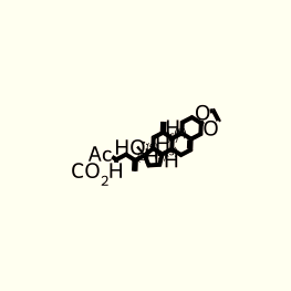 C=C1C[C@@]2(C)[C@@H](CC[C@]2(O)C(=C)CC(C(C)=O)C(=O)O)[C@@H]2CC=C3CC4(CC[C@@H]3[C@@H]12)OCCO4